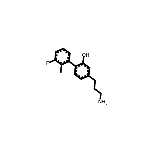 Cc1c(F)cccc1-c1[c]cc(CCCN)cc1O